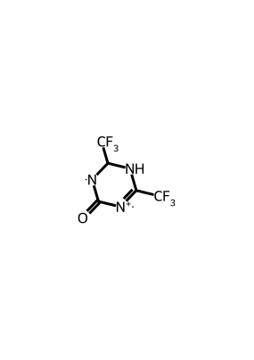 O=C1[N]C(C(F)(F)F)NC(C(F)(F)F)=[N+]1